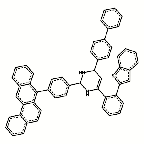 C1=C(c2ccccc2-c2cc3ccccc3s2)NC(c2ccc(-c3c4ccccc4cc4c3ccc3ccccc34)cc2)NC1c1ccc(-c2ccccc2)cc1